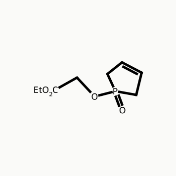 CCOC(=O)COP1(=O)CC=CC1